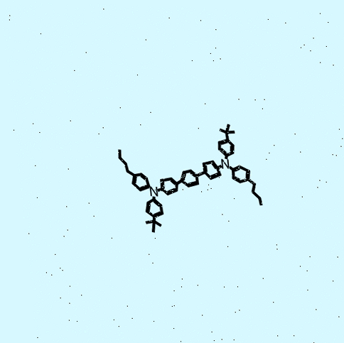 CCCCc1ccc(N(c2ccc(-c3ccc(-c4ccc(N(c5ccc(CCCC)cc5)c5ccc(C(C)(C)C)cc5)cc4)cc3)cc2)c2ccc(C(C)(C)C)cc2)cc1